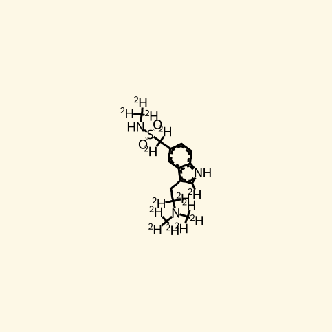 [2H]c1[nH]c2ccc(C([2H])([2H])S(=O)(=O)NC([2H])([2H])[2H])cc2c1CC([2H])([2H])N(C([2H])([2H])[2H])C([2H])([2H])[2H]